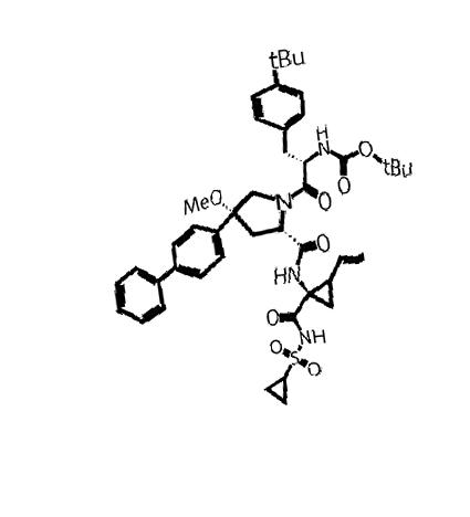 C=CC1C[C@]1(NC(=O)[C@@H]1C[C@@](OC)(c2ccc(-c3ccccc3)cc2)CN1C(=O)[C@H](Cc1ccc(C(C)(C)C)cc1)NC(=O)OC(C)(C)C)C(=O)NS(=O)(=O)C1CC1